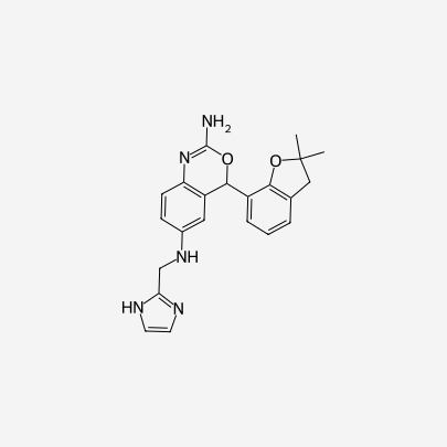 CC1(C)Cc2cccc(C3OC(N)=Nc4ccc(NCc5ncc[nH]5)cc43)c2O1